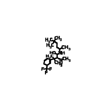 CNC(C(O)NC(C)CCC(C)(C)C)C(C)(C)C1=CC(C(F)(F)F)CC=C1